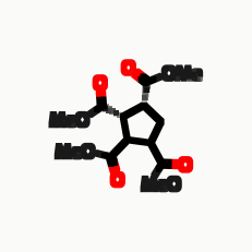 COC(=O)C1C[C@@H](C(=O)OC)[C@@H](C(=O)OC)C1C(=O)OC